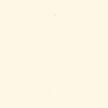 CC(=O)OCCc1cc2c(cc1Cl)OCO2